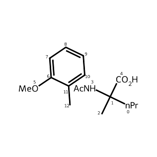 CCCC(C)(NC(C)=O)C(=O)O.COc1ccccc1C